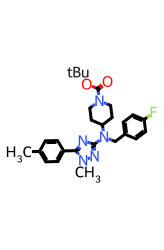 Cc1ccc(-c2nc(N(Cc3ccc(F)cc3)C3CCN(C(=O)OC(C)(C)C)CC3)nn2C)cc1